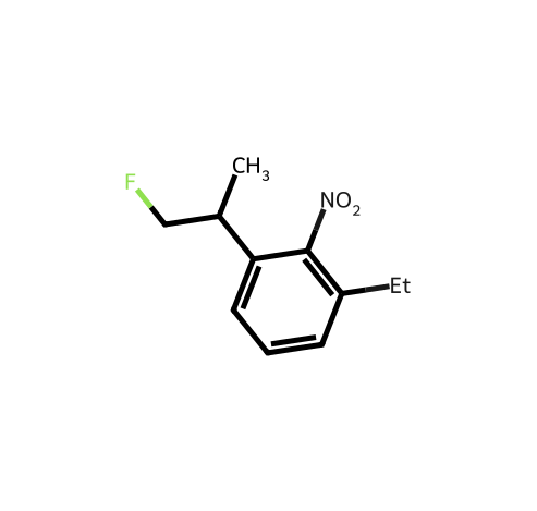 CCc1cccc([C](C)CF)c1[N+](=O)[O-]